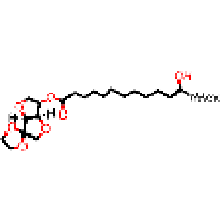 CCCCCCC(O)CCCCCCCCCCC(=O)O[C@@H]1CO[C@H]2[C@@H]1OCC21OCCO1